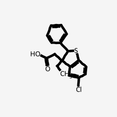 CCC1(CC(=O)O)c2cc(Cl)ccc2SC1c1ccccc1